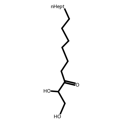 CCCCCCCCCCCCCC(=O)C(O)CO